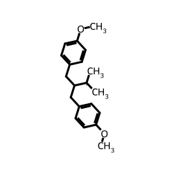 COc1ccc(CC(Cc2ccc(OC)cc2)[C](C)C)cc1